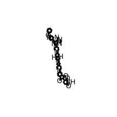 Nc1ncnc2c1c(-c1ccc(Oc3ccccc3)cc1)nn2C1CCN(C2C[C@@H]3CN(C4CC5(CCN(c6ccc7c(c6)C(=O)C(C6CCC(=O)NC6=O)C7=O)CC5)C4)C[C@@H]3C2)CC1